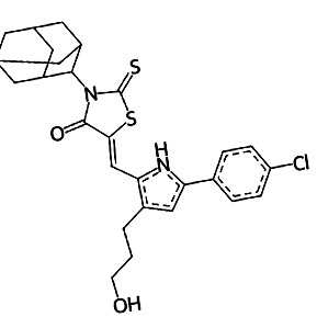 O=C1/C(=C/c2[nH]c(-c3ccc(Cl)cc3)cc2CCCO)SC(=S)N1C1C2CC3CC(C2)CC1C3